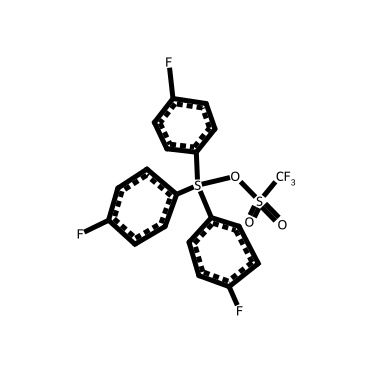 O=S(=O)(OS(c1ccc(F)cc1)(c1ccc(F)cc1)c1ccc(F)cc1)C(F)(F)F